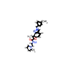 Cc1ccc(Cn2cc3c(n2)-c2c(oc(C(=O)NCCN4CCCCC4C)c2C)CC3)cc1